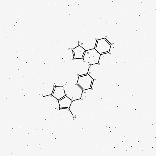 CCc1nc2c(C)nsc2n1Cc1ccc(OCc2ccccc2-c2nnn[nH]2)cc1